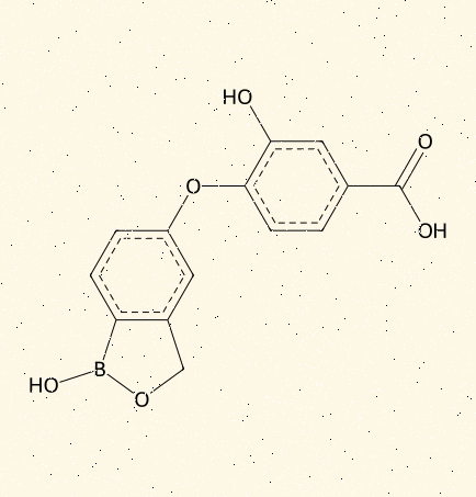 O=C(O)c1ccc(Oc2ccc3c(c2)COB3O)c(O)c1